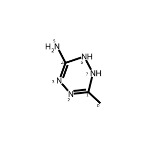 CC1=NN=C(N)NN1